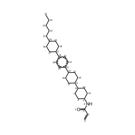 C=CC(=O)NC1CCC(C2CCC(c3ccc(C4CCC(CCCCC)CC4)cc3)CC2)CC1